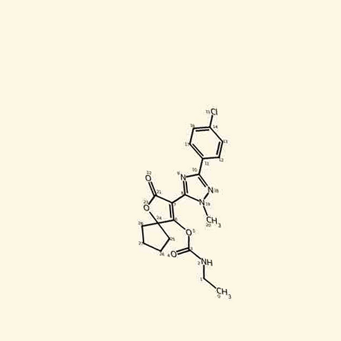 CCNC(=O)OC1=C(c2nc(-c3ccc(Cl)cc3)nn2C)C(=O)OC12CCCC2